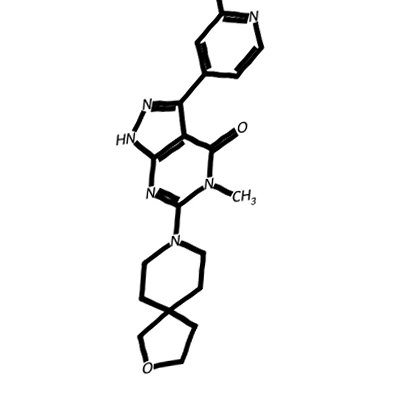 Cn1c(N2CCC3(CCOC3)CC2)nc2[nH]nc(-c3ccnc(Br)c3)c2c1=O